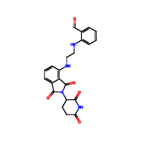 O=[C]c1ccccc1NCCNc1cccc2c1C(=O)N(C1CCC(=O)NC1=O)C2=O